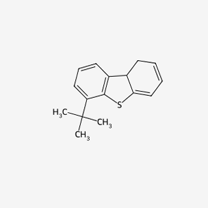 CC(C)(C)c1cccc2c1SC1=CC=CCC12